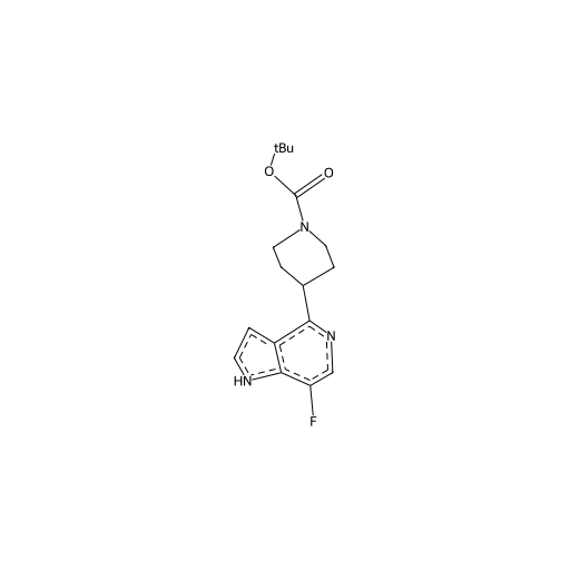 CC(C)(C)OC(=O)N1CCC(c2ncc(F)c3[nH]ccc23)CC1